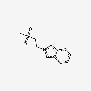 CS(=O)(=O)CCn1cc2ccccc2c1